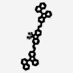 CC1(C)c2cc(/C=C/c3ccc4c(c3)c3ccccc3n4-c3cccc4ccccc34)ccc2-c2ccc(/C=C/c3ccc4c(c3)c3ccccc3n4-c3cccc4ccccc34)cc21